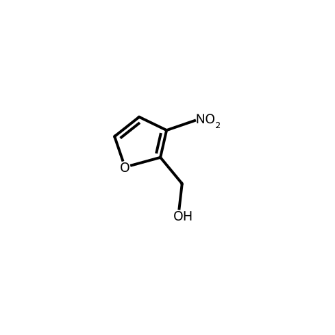 O=[N+]([O-])c1ccoc1CO